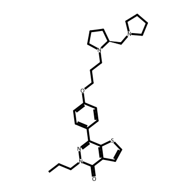 CCCn1nc(-c2ccc(OCCCN3CCC[C@H]3CN3CCCC3)cc2)c2sccc2c1=O